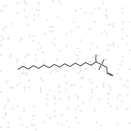 C=CC[N+](C)(C)C(Cl)CCCCCCCCCCCCCCC